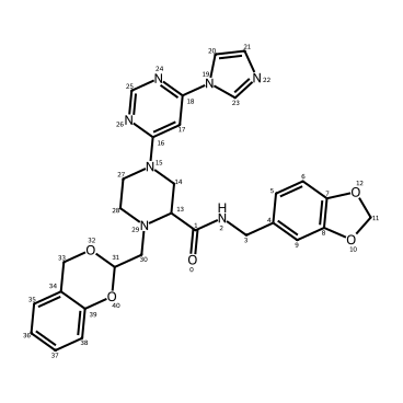 O=C(NCc1ccc2c(c1)OCO2)C1CN(c2cc(-n3ccnc3)ncn2)CCN1CC1OCc2ccccc2O1